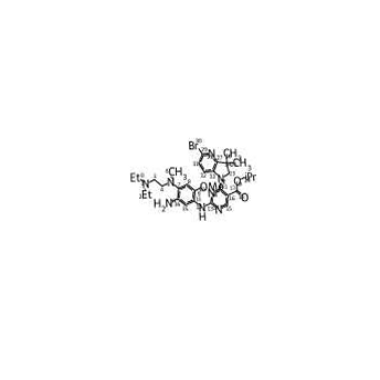 CCN(CC)CCN(C)c1cc(OC)c(Nc2ncc(C(=O)OC(C)C)c(N3CC(C)(C)c4nc(Br)ccc43)n2)cc1N